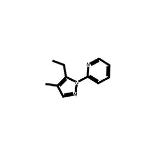 CCc1c(C)cnn1-c1ccccn1